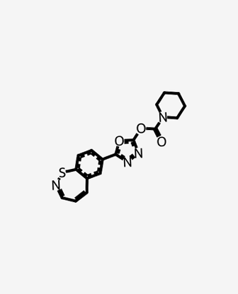 O=C(Oc1nnc(-c2ccc3c(c2)C=CC=NS3)o1)N1CCCCC1